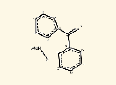 CNC.S=C(c1ccccc1)c1ccccc1